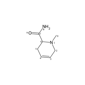 CN1CC=CCC1C(N)=O